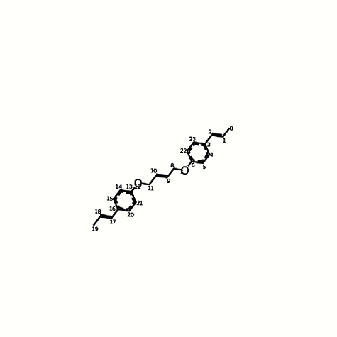 CC=Cc1ccc(OCC=CCOc2ccc(C=CC)cc2)cc1